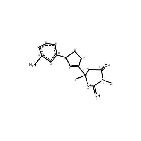 CN1C(=N)N[C@](C)(C2=CC(c3cccc(N)c3)CS2)CC1=O